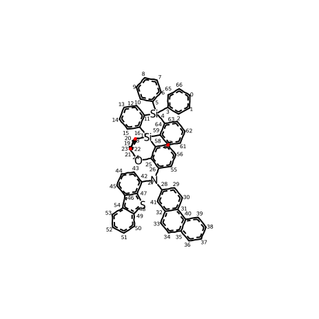 c1ccc([Si]2(c3ccccc3)c3ccccc3[Si]3(c4ccccc4Oc4c(N(c5ccc6c(ccc7ccccc76)c5)c5cccc6c5sc5ccccc56)cccc43)c3ccccc32)cc1